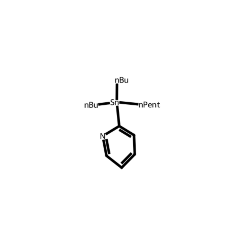 CCCC[CH2][Sn]([CH2]CCC)([CH2]CCC)[c]1ccccn1